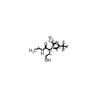 CCNC(=O)[C@H](CCO)n1cc(C(F)(F)F)nc1C